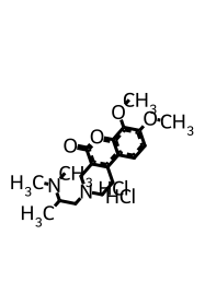 COc1ccc2c3c(c(=O)oc2c1OC)CN(CC(C)N(C)C)CC3.Cl.Cl